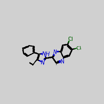 CCc1nc(-c2[c]nc3cc(Cl)c(Cl)cc3n2)[nH]c1-c1ccccc1